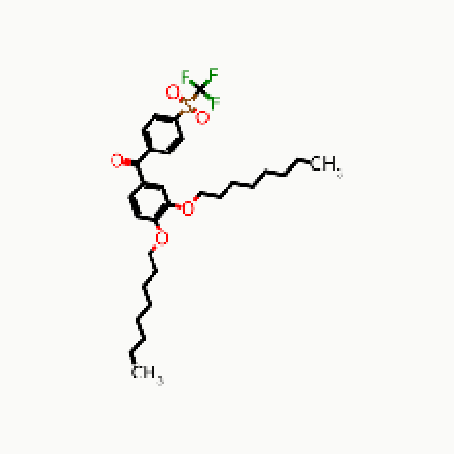 CCCCCCCCOc1ccc(C(=O)c2ccc(S(=O)(=O)C(F)(F)F)cc2)cc1OCCCCCCCC